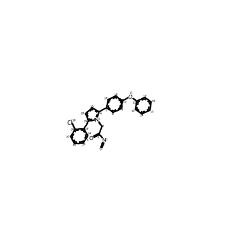 [CH]=NC(=O)Cn1c(-c2ccc(Oc3ccccc3)cc2)ccc1-c1ccccc1Cl